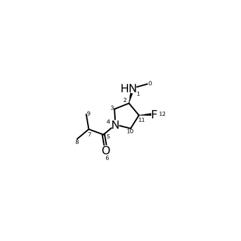 CN[C@@H]1CN(C(=O)C(C)C)C[C@@H]1F